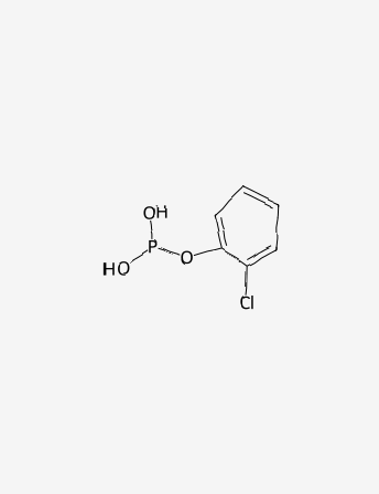 OP(O)Oc1ccccc1Cl